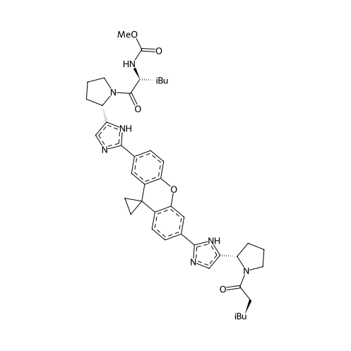 CC[C@H](C)CC(=O)N1CCC[C@H]1c1cnc(-c2ccc3c(c2)Oc2ccc(-c4ncc([C@@H]5CCCN5C(=O)[C@@H](NC(=O)OC)[C@@H](C)CC)[nH]4)cc2C32CC2)[nH]1